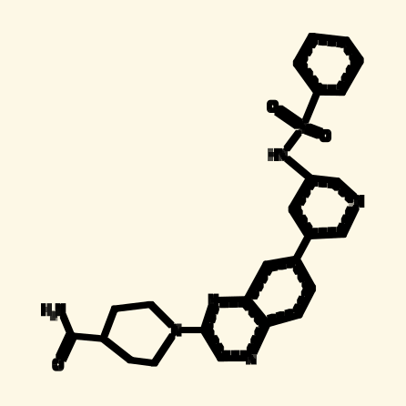 NC(=O)C1CCN(c2cnc3ccc(-c4cncc(NS(=O)(=O)c5ccccc5)c4)cc3n2)CC1